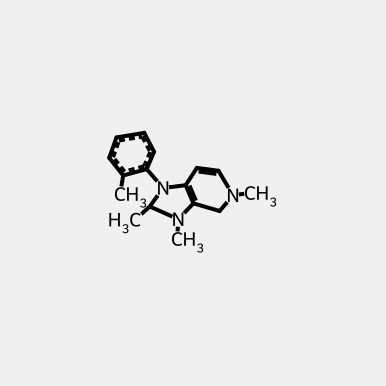 Cc1ccccc1N1C2=C(CN(C)C=C2)N(C)C1C